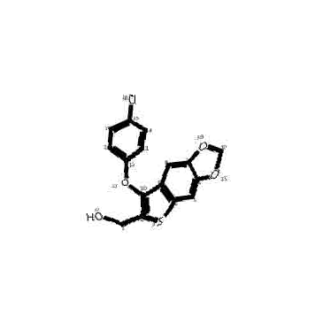 OCc1sc2cc3c(cc2c1Oc1ccc(Cl)cc1)OCO3